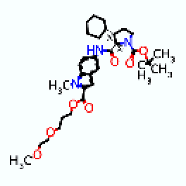 COCCOCCCOC(=O)c1cc2cc(NC(=O)[C@@H]3[C@H](C4CCCCC4)CCN3C(=O)OC(C)(C)C)ccc2n1C